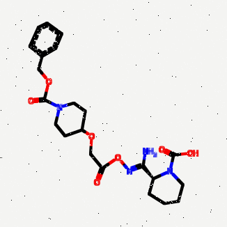 NC(=NOC(=O)COC1CCN(C(=O)OCc2ccccc2)CC1)[C@@H]1CCCCN1C(=O)O